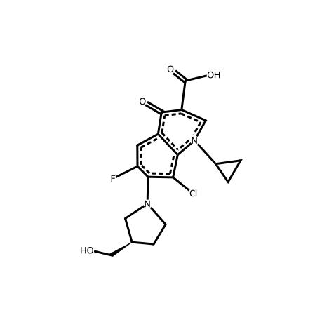 O=C(O)c1cn(C2CC2)c2c(Cl)c(N3CC[C@@H](CO)C3)c(F)cc2c1=O